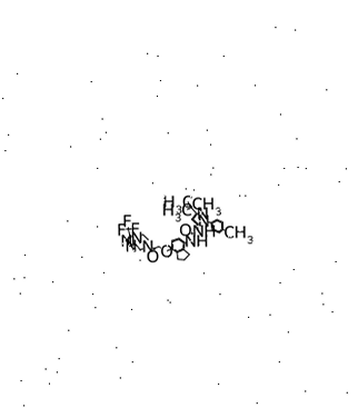 Cc1ccc(-n2nc(C(C)(C)C)cc2NC(=O)Nc2ccc(OCC(=O)N3CCn4c(nnc4C(F)(F)F)C3)c3c2CCC3)cc1